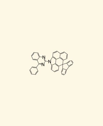 c1ccc(-c2nc(-n3c4cccc5c4c4c6c(cccc6ccc43)C53c4ccccc4-c4ccccc43)nc3ccccc23)cc1